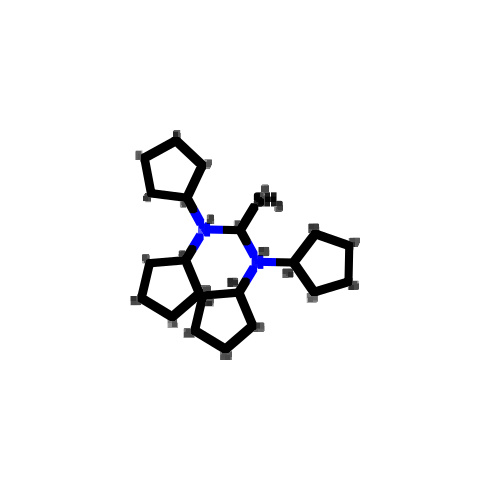 [SiH3]C(N(C1CCCC1)C1CCCC1)N(C1CCCC1)C1CCCC1